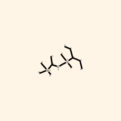 CCC(CC)[Si](C)(C)OC(C)[Si](C)(C)C